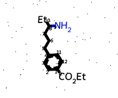 CCOC(=O)c1ccc(CCCC(N)CC)cc1